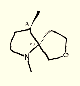 C[C@@H]1CCN(C)[C@@]12CCOC2